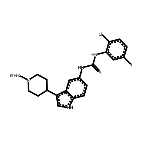 CCCCCCN1CCC(c2c[nH]c3ccc(NC(=S)Nc4cc(I)ccc4Cl)cc23)CC1